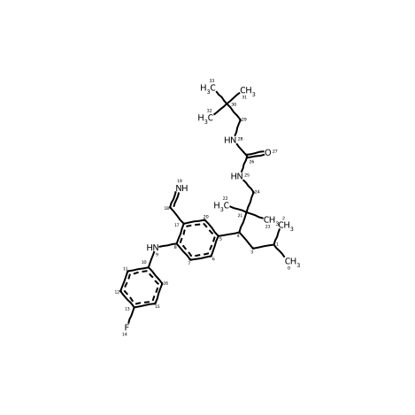 CC(C)CC(c1ccc(Nc2ccc(F)cc2)c(C=N)c1)C(C)(C)CNC(=O)NCC(C)(C)C